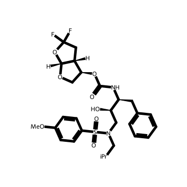 COc1ccc(S(=O)(=O)N(CC(C)C)C[C@@H](O)[C@H](Cc2ccccc2)NC(=O)O[C@H]2CO[C@@H]3OC(F)(F)C[C@@H]32)cc1